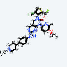 COc1ccc(N2C(=O)N(c3c(Cl)csc3CF)Cc3cnc(Nc4ccc(C5CCN(C)CC5)cc4)nc32)nc1